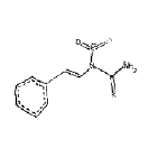 NC(=S)N(C=Cc1ccccc1)[SH](=O)=O